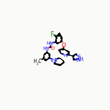 Cc1cc(NC(=O)Nc2cc(Oc3ccnc(-c4cn[nH]c4)c3)ccc2F)cc(N2CCCC2)c1